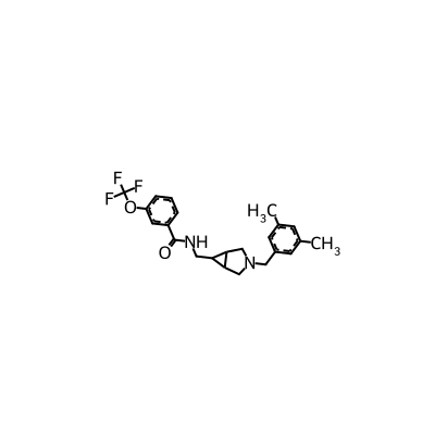 Cc1cc(C)cc(CN2CC3C(CNC(=O)c4cccc(OC(F)(F)F)c4)C3C2)c1